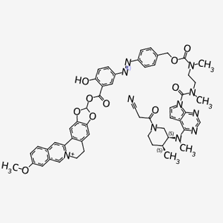 COc1ccc2cc3[n+](cc2c1)CCc1cc2c(cc1-3)OC(OC(=O)c1cc(/N=N/c3ccc(COC(=O)N(C)CCN(C)C(=O)n4ccc5c(N(C)[C@@H]6CN(C(=O)CC#N)CC[C@@H]6C)ncnc54)cc3)ccc1O)O2